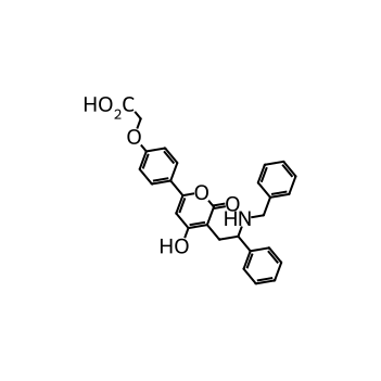 O=C(O)COc1ccc(-c2cc(O)c(CC(NCc3ccccc3)c3ccccc3)c(=O)o2)cc1